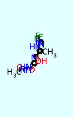 CC(=O)NCCNC(=O)[C@H]1CC[C@@](O)(c2ncc(-c3cc(C)cc(Nc4nccc(C(F)(F)F)n4)c3)s2)CC1